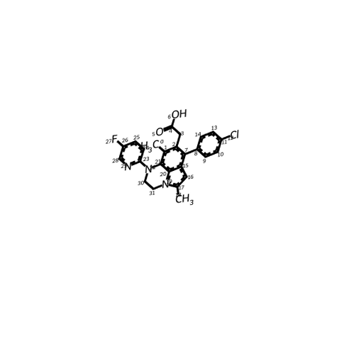 Cc1c(CC(=O)O)c(-c2ccc(Cl)cc2)c2cc(C)n3c2c1N(c1ccc(F)cn1)CC3